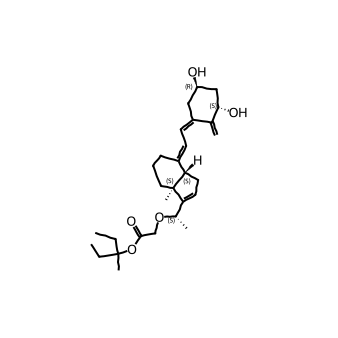 C=C1C(=CC=C2CCC[C@]3(C)C([C@H](C)OCC(=O)OC(C)(CC)CC)=CC[C@@H]23)C[C@@H](O)C[C@@H]1O